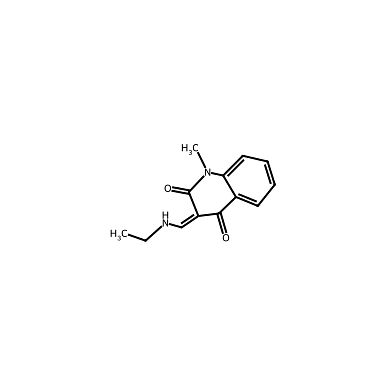 CCNC=C1C(=O)c2ccccc2N(C)C1=O